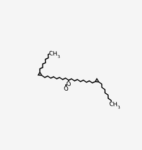 CCCCCCCCC1CC1CCCCCCCCC(CCCCCCCCC1CC1CCCCCCCC)OC=O